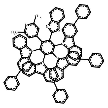 Cc1cc(-c2c(-c3nc4ccccc4s3)c(-n3c4ccccc4c4cc(-c5ccccc5)ccc43)c(-n3c4ccccc4c4cc(-c5ccccc5)ccc43)c(-n3c4ccccc4c4cc(-c5ccccc5)ccc43)c2-n2c3ccccc3c3cc(-c4ccccc4)ccc32)cc(C)n1